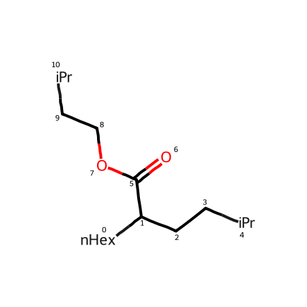 CCCCCCC(CCC(C)C)C(=O)OCCC(C)C